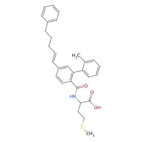 CSCCC(NC(=O)c1ccc(C=CCCCc2ccccc2)cc1-c1ccccc1C)C(=O)O